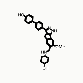 COc1cc2c(cc1CN[C@H]1CC[C@H](O)CC1)Cc1c(-c3ccc(-c4ccc(O)cc4)cc3)n[nH]c1-2